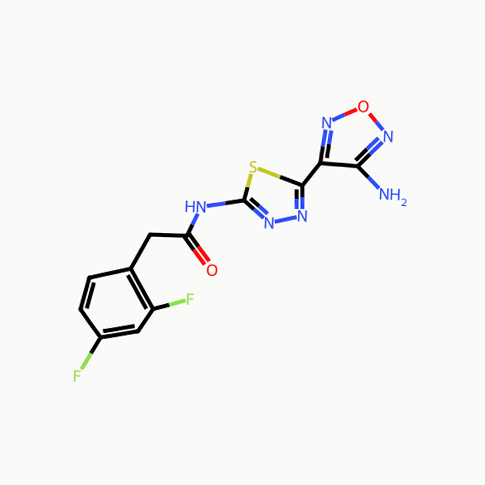 Nc1nonc1-c1nnc(NC(=O)Cc2ccc(F)cc2F)s1